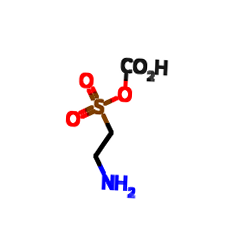 NCCS(=O)(=O)OC(=O)O